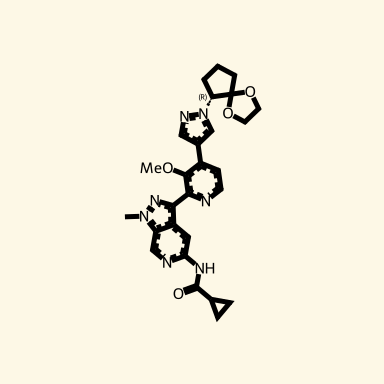 COc1c(-c2cnn([C@@H]3CCCC34OCCO4)c2)ccnc1-c1nn(C)c2cnc(NC(=O)C3CC3)cc12